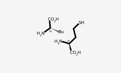 CCC(C)[C@H](N)C(=O)O.N[C@@H](CCS)C(=O)O